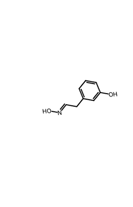 ON=CCc1cccc(O)c1